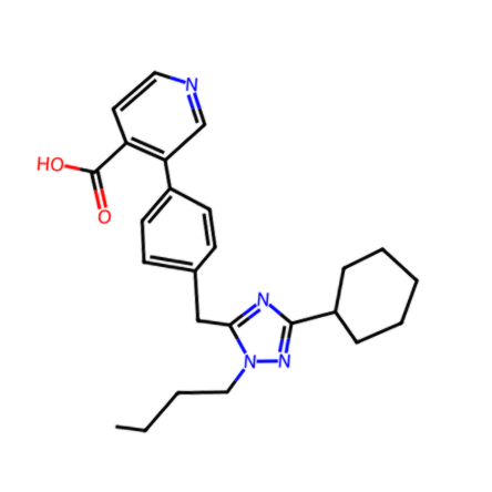 CCCCn1nc(C2CCCCC2)nc1Cc1ccc(-c2cnccc2C(=O)O)cc1